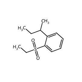 CCC(C)c1ccccc1S(=O)(=O)CC